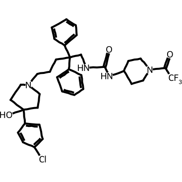 O=C(NCC(CCCN1CCC(O)(c2ccc(Cl)cc2)CC1)(c1ccccc1)c1ccccc1)NC1CCN(C(=O)C(F)(F)F)CC1